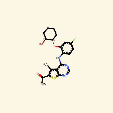 COC(=O)c1sc2ncnc(Nc3ccc(F)cc3O[C@H]3CCCC[C@@H]3O)c2c1C